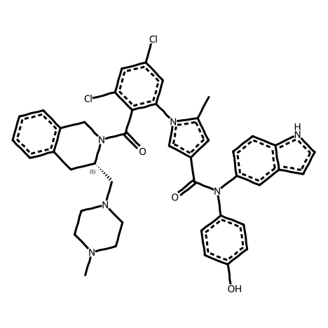 Cc1cc(C(=O)N(c2ccc(O)cc2)c2ccc3[nH]ccc3c2)cn1-c1cc(Cl)cc(Cl)c1C(=O)N1Cc2ccccc2C[C@H]1CN1CCN(C)CC1